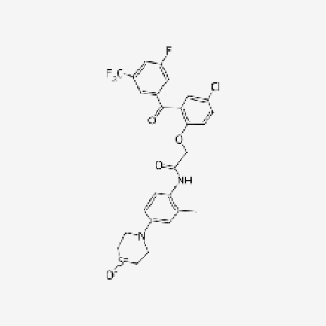 Cc1cc(N2CC[S+]([O-])CC2)ccc1NC(=O)COc1ccc(Cl)cc1C(=O)c1cc(F)cc(C(F)(F)F)c1